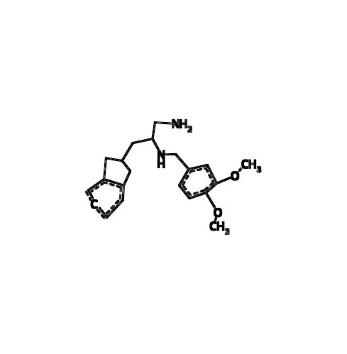 COc1ccc(CNC(CN)CC2Cc3ccccc3C2)cc1OC